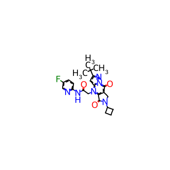 CC(C)(C)c1cc2n(CC(=O)Nc3ccc(F)cn3)c3c(c(=O)n2n1)CN(C1CCC1)C3=O